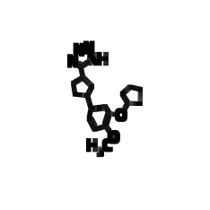 COc1ccc(C2CCC(c3nnn[nH]3)C2)cc1OC1CCCC1